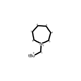 [CH2]C(C)(C)CN1CCCCCC1